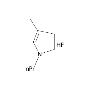 CCCn1ccc(C)c1.F